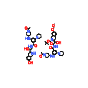 CC(=O)N1CCC(Nc2cc(C(=O)NC[C@@H](O)[C@@H]3Cc4ccc(O)cc4CN3)cc(N3CCCCC3)c2)CC1.COCOc1ccc2c(c1)CN(C(=O)OC(C)(C)C)[C@H]([C@H](O)CNC(=O)c1cc(NC3CCN(C(C)=O)CC3)cc(N3CCCCC3)c1)C2